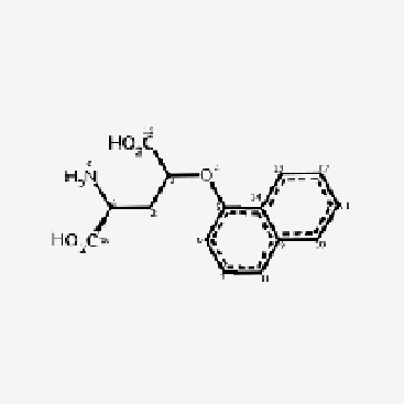 N[C@@H](CC(Oc1cccc2ccccc12)C(=O)O)C(=O)O